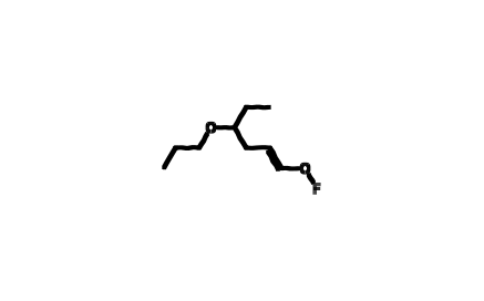 CCCOC(CC)CC=COF